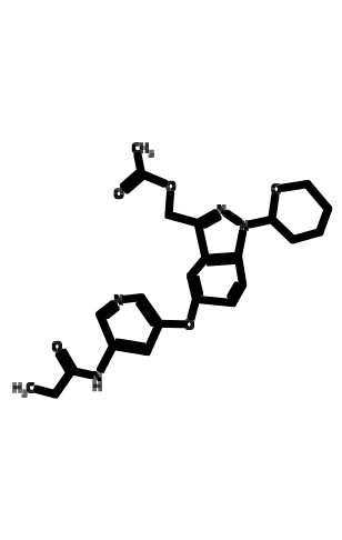 CCC(=O)Nc1cncc(Oc2ccc3c(c2)c(COC(C)=O)nn3C2CCCCO2)c1